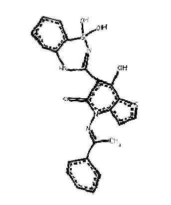 C/C(=N\n1c(=O)c(C2=NS(O)(O)c3ccccc3N2)c(O)c2sccc21)c1ccccc1